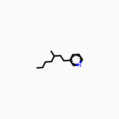 CCCC[C](C)CCc1cccnc1